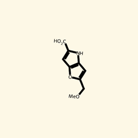 COCc1cc2[nH]c(C(=O)O)cc2o1